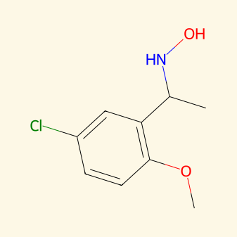 COc1ccc(Cl)cc1C(C)NO